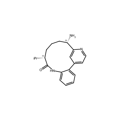 CC(C)[C@@H]1CCC[C@H](N)c2cc(ccn2)-c2ccccc2NC1=O